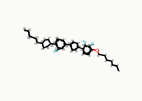 CCCCCCCOc1ccc(-c2ccc(-c3ccc(C4CCC(CCCCC)CC4)c(F)c3)cc2)c(F)c1F